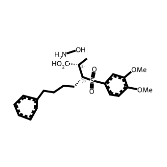 COc1ccc(S(=O)(=O)[C@H](CCCCc2ccccc2)[C@@H](C)C(=O)O)cc1OC.NO